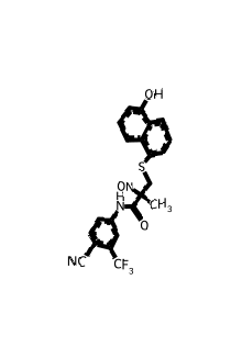 CC(CSc1cccc2c(O)cccc12)(N=O)C(=O)Nc1ccc(C#N)c(C(F)(F)F)c1